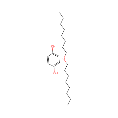 CCCCCCCCOCCCCCCCC.Oc1ccc(O)cc1